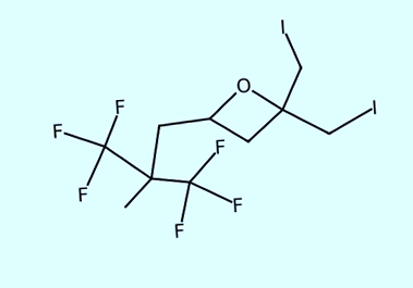 CC(CC1CC(CI)(CI)O1)(C(F)(F)F)C(F)(F)F